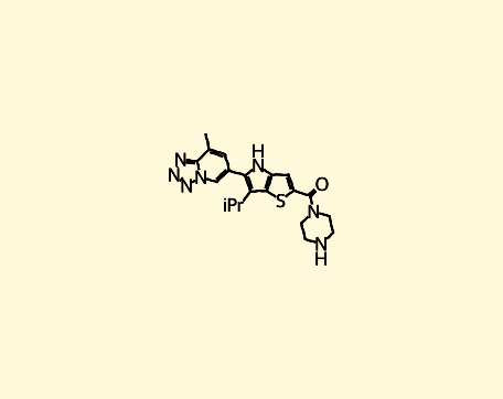 Cc1cc(-c2[nH]c3cc(C(=O)N4CCNCC4)sc3c2C(C)C)cn2nnnc12